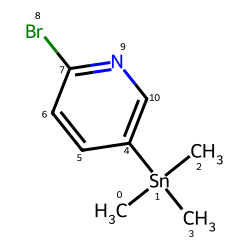 [CH3][Sn]([CH3])([CH3])[c]1ccc(Br)nc1